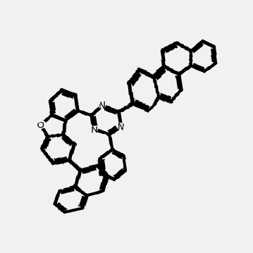 c1ccc(-c2nc(-c3ccc4c(ccc5c6ccccc6ccc45)c3)nc(-c3cccc4oc5ccc(-c6cccc7ccccc67)cc5c34)n2)cc1